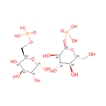 O=P(O)(O)OC[C@H]1O[C@H](O)[C@H](O)[C@@H](O)[C@@H]1O.O=P(O)(O)O[C@H]1O[C@H](CO)[C@@H](O)[C@H](O)[C@H]1O